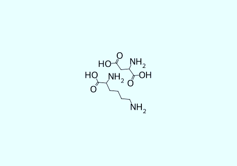 NC(CC(=O)O)C(=O)O.NCCCCC(N)C(=O)O